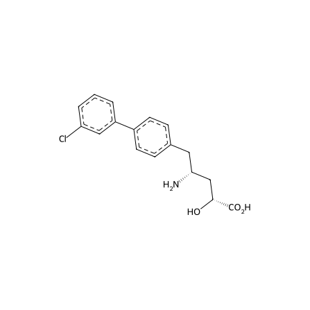 N[C@H](Cc1ccc(-c2cccc(Cl)c2)cc1)C[C@@H](O)C(=O)O